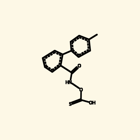 Cc1ccc(-c2ccccc2C(=O)NOC(O)=S)cc1